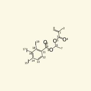 C=C(C)C(=O)OC(C)OC(=O)c1ccc(I)c(I)c1I